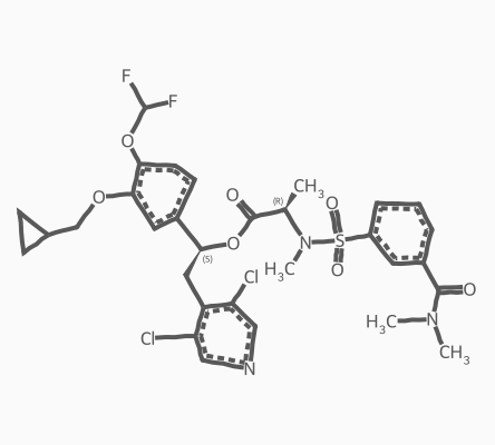 C[C@H](C(=O)O[C@@H](Cc1c(Cl)cncc1Cl)c1ccc(OC(F)F)c(OCC2CC2)c1)N(C)S(=O)(=O)c1cccc(C(=O)N(C)C)c1